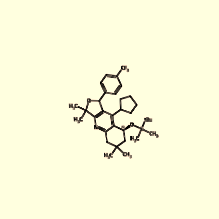 CC1(C)Cc2nc3c(c(C4CCCC4)c2[C@@H](O[Si](C)(C)C(C)(C)C)C1)C(c1ccc(C(F)(F)F)cc1)OC3(C)C